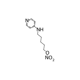 O=[N+]([O-])OCCCCCNc1ccncc1